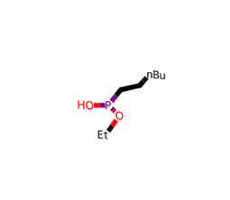 CCCCCCP(O)OCC